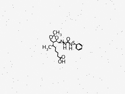 CC(CCCCC(=O)O)[C@H]1CO[C@@H](C)O[C@H]1/C=N/NC(=O)NSc1ccccc1